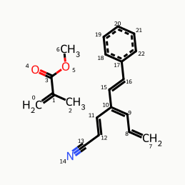 C=C(C)C(=O)OC.C=CC=C(C=CC#N)C=Cc1ccccc1